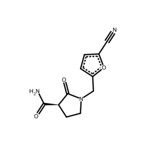 N#Cc1ccc(CN2CC[C@@H](C(N)=O)C2=O)o1